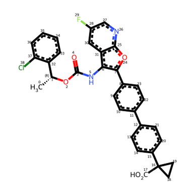 C[C@@H](OC(=O)Nc1c(-c2ccc(-c3ccc(C4(C(=O)O)CC4)cc3)cc2)oc2ncc(F)cc12)c1ccccc1Cl